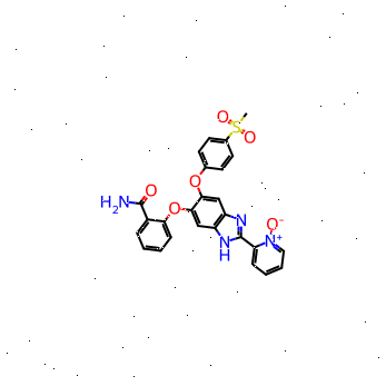 CS(=O)(=O)c1ccc(Oc2cc3nc(-c4cccc[n+]4[O-])[nH]c3cc2Oc2ccccc2C(N)=O)cc1